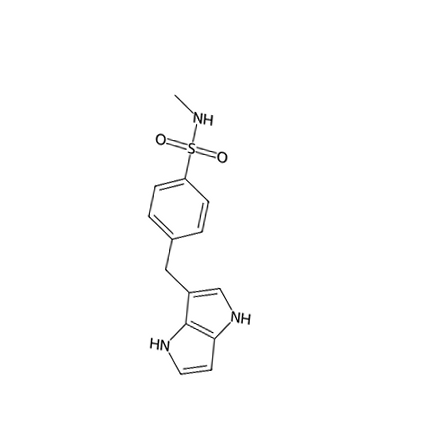 CNS(=O)(=O)c1ccc(Cc2c[nH]c3cc[nH]c23)cc1